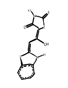 CCN1C(=O)C(=C(O)C=C2Sc3ccccc3N2CC)SC1=S